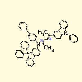 C/C(=C\C=C(/C)N(c1ccc(-c2ccccc2)cc1)c1ccc2c(c1)C(c1ccccc1)(c1ccccc1)c1ccccc1-2)c1ccc2c(c1)c1ccccc1n2-c1ccccc1